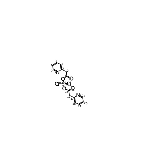 O=C(Cc1ccccn1)O[Si](Cl)(Cl)OC(=O)Cc1ccccn1